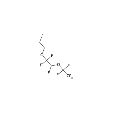 FC(OC(F)(F)C(F)(F)F)C(F)(F)OCCI